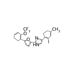 CC1=CC(I)=C(c2c[nH]c(-c3ccc(C4=C(OC(F)(F)F)C=CCC4)o3)n2)CC1